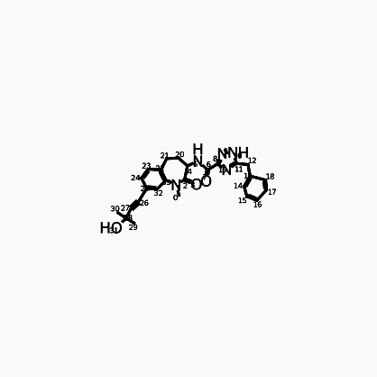 CN1C(=O)C(NC(=O)c2n[nH]c(Cc3ccccc3)n2)CCc2ccc(C#CC(C)(C)O)cc21